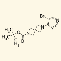 CC(C)(C)OC(=O)N1CC2(C1)CN(c1ncncc1Br)C2